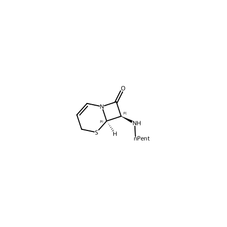 CCCCCN[C@@H]1C(=O)N2C=CCS[C@H]12